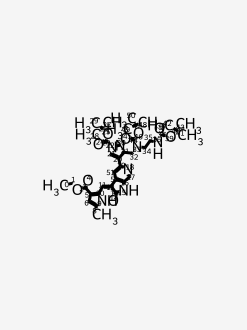 CCOC(=O)c1cc(C)[nH]c1/C=C1\C(=O)Nc2cnc(-c3cn(C(=O)OC(C)(C)C)nc3CN(CCNC(=O)OC(C)(C)C)C(=O)OC(C)(C)C)cc21